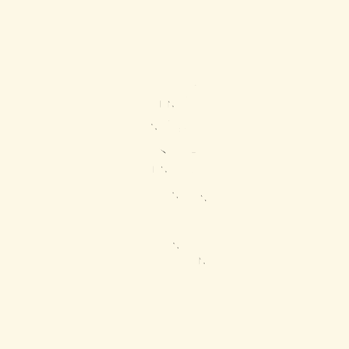 O=C(NC1CC1)N1CCCC[C@@H]1CNc1nc(C2CNc3ncccc32)ncc1F